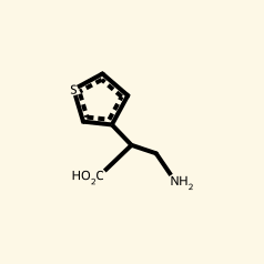 NCC(C(=O)O)c1ccsc1